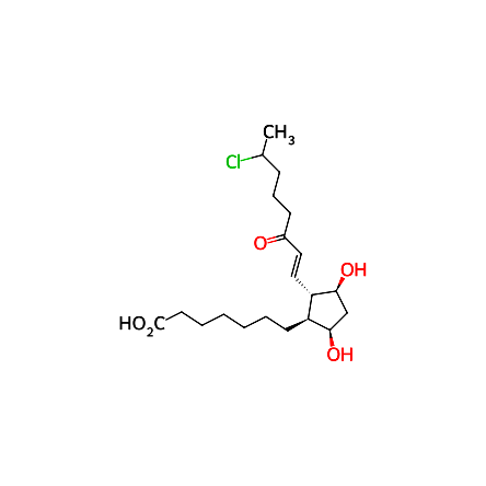 CC(Cl)CCCC(=O)C=C[C@H]1[C@H](CCCCCCC(=O)O)[C@H](O)C[C@@H]1O